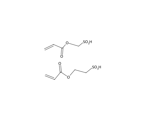 C=CC(=O)OCCS(=O)(=O)O.C=CC(=O)OCS(=O)(=O)O